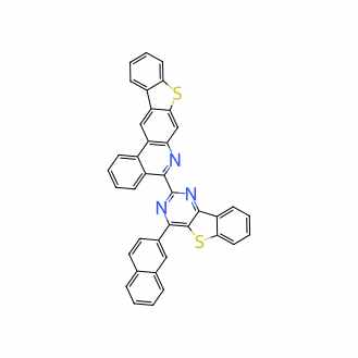 c1ccc2cc(-c3nc(-c4nc5cc6sc7ccccc7c6cc5c5ccccc45)nc4c3sc3ccccc34)ccc2c1